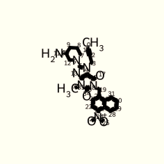 CC#CCn1c(N2CCC[C@@H](N)C2)nc2c1c(=O)n(Cc1ccc([N+](=O)[O-])c3ccccc13)c(=O)n2C